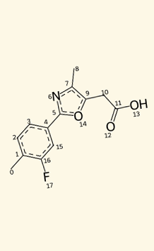 Cc1ccc(-c2nc(C)c(CC(=O)O)o2)cc1F